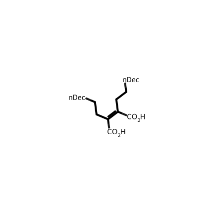 CCCCCCCCCCCC/C(C(=O)O)=C(\CCCCCCCCCCCC)C(=O)O